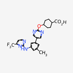 Cc1cc(Nc2nccc(C(F)(F)F)n2)cc(-c2cnc(OC3CCC(C(=O)O)CC3)nc2)c1